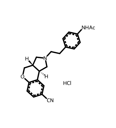 CC(=O)Nc1ccc(CCN2C[C@H]3COc4ccc(C#N)cc4[C@@H]3C2)cc1.Cl